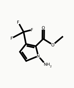 COC(=O)c1c(C(F)(F)F)ccn1N